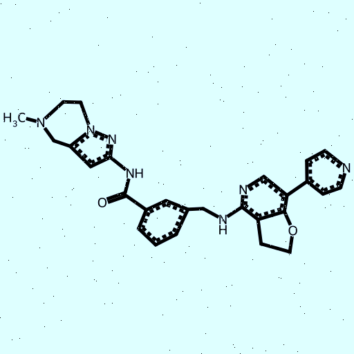 CN1CCn2nc(NC(=O)c3cccc(CNc4ncc(-c5ccncc5)c5c4CCO5)c3)cc2C1